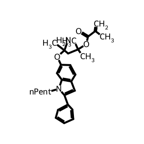 C=C(C)C(=O)OC(C)(C)CC(C)(N)Oc1ccc2cc(-c3ccccc3)n(CCCCC)c2c1